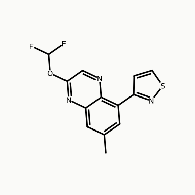 Cc1cc(-c2ccsn2)c2ncc(OC(F)F)nc2c1